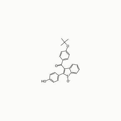 CC(C)(C)Oc1ccc(C(=O)c2c(-c3ccc(O)cc3)[s+]([O-])c3ccccc23)cc1